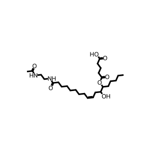 CCCCCC(OC(=O)CCCC(=O)O)C(O)C/C=C\CCCCCCCC(=O)NCCNC(C)=O